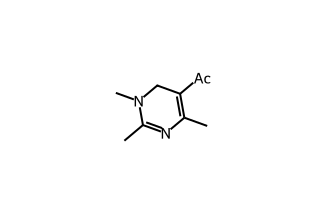 CC(=O)C1=C(C)N=C(C)N(C)C1